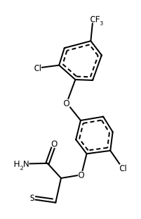 NC(=O)C(C=S)Oc1cc(Oc2ccc(C(F)(F)F)cc2Cl)ccc1Cl